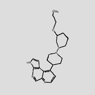 COCCOC1CCCN(N2CCC(c3ccnc4cnc5[nH]ccc5c34)CC2)C1